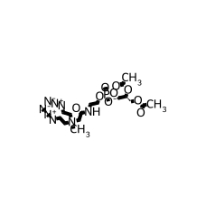 CC(=O)OC[C@H](COP(=O)([O-])OCCNC(=O)C[N+](C)(CCN=[N+]=[N-])CCN=[N+]=[N-])OC(C)=O